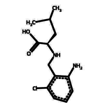 CC(C)C[C@@H](NCc1c(N)cccc1Cl)C(=O)O